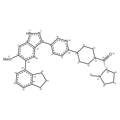 COc1cc2[nH]nc(-c3ccc(C4CCN(C(=O)[C@@H]5CCCN5C)CC4)nc3)c2nc1-c1cccc2c1CCC2